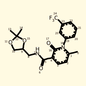 Cc1ccc(C(=O)NCC2COC(C)(C)O2)c(=O)n1-c1cccc(C(F)(F)F)c1